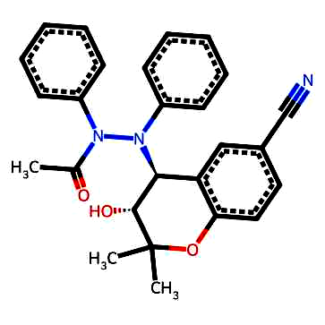 CC(=O)N(c1ccccc1)N(c1ccccc1)[C@H]1c2cc(C#N)ccc2OC(C)(C)[C@@H]1O